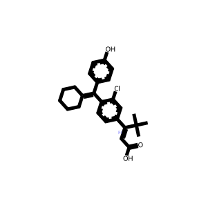 CC(C)(C)/C(=C\C(=O)O)c1ccc(C(=C2CCCCC2)c2ccc(O)cc2)c(Cl)c1